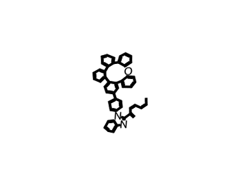 C=C(/C=C\C=C/C)c1nc2ccccc2n1-c1ccc(-c2ccc3c(c2)-c2ccccc2Oc2ccccc2-c2ccccc2-c2ccccc2-3)cc1